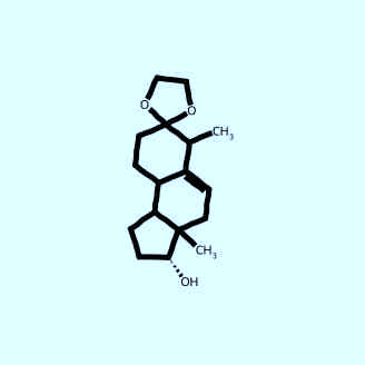 CC1C2=CCC3(C)C(CC[C@H]3O)C2CCC12OCCO2